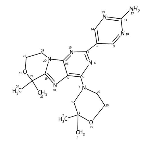 CC1(C)CN(c2nc(-c3cnc(N)nc3)nc3c2nc2n3CCOC2(C)C)CCO1